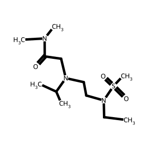 CCN(CCN(CC(=O)N(C)C)C(C)C)S(C)(=O)=O